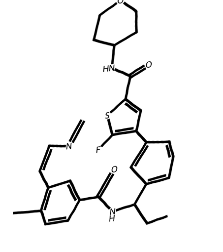 C=N/C=C\c1cc(C(=O)NC(CC)c2cccc(-c3cc(C(=O)NC4CCOCC4)sc3F)c2)ccc1C